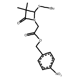 CC(C)(C)SC1N(CC(=O)OCc2ccc([N+](=O)[O-])cc2)C(=O)C1(C)C